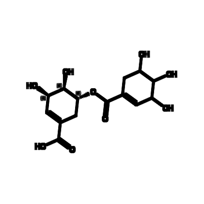 O=C(O)C1=C[C@@H](O)[C@@H](O)[C@H](OC(=O)C2=CC(O)C(O)C(O)C2)C1